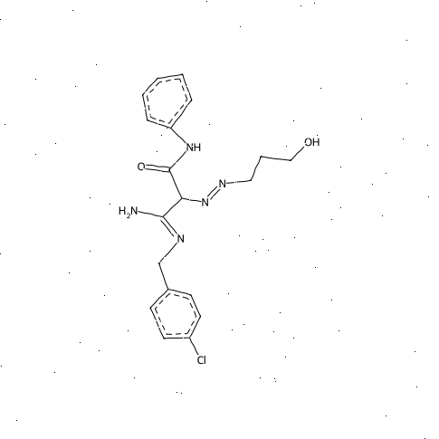 N/C(=N\Cc1ccc(Cl)cc1)C(/N=N/CCCO)C(=O)Nc1ccccc1